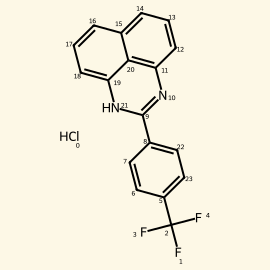 Cl.FC(F)(F)c1ccc(C2=Nc3cccc4cccc(c34)N2)cc1